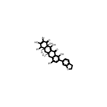 CC(=O)C1=C(O)C(C(C)C)[C@@]2(C)C[C@@]3(C)Cc4c(C(C)C)cc(-c5ccc6c(c5)OCC6)c(O)c4C(=O)C3=C(O)[C@@]2(O)C1=O